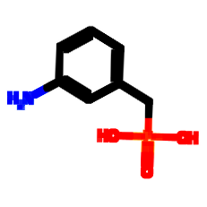 Nc1cccc(CP(=O)(O)O)c1